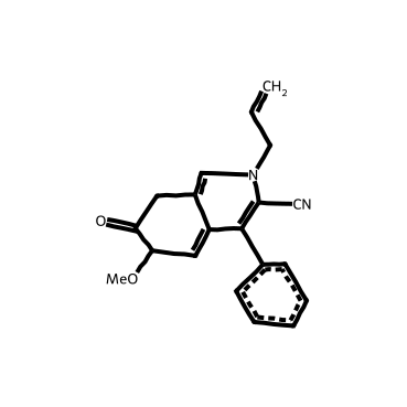 C=CCN1C=C2CC(=O)C(OC)C=C2C(c2ccccc2)=C1C#N